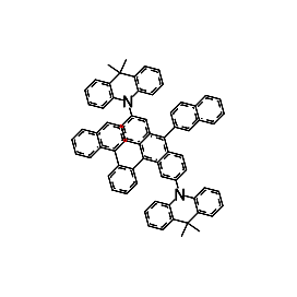 CC1(C)c2ccccc2N(c2ccc3c(-c4ccccc4-c4cccc5ccccc45)c4cc(N5c6ccccc6C(C)(C)c6ccccc65)ccc4c(-c4ccc5ccccc5c4)c3c2)c2ccccc21